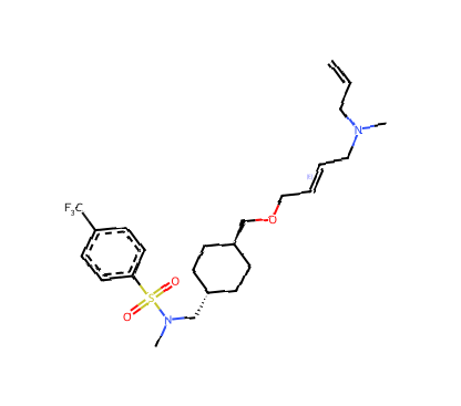 C=CCN(C)C/C=C/COC[C@H]1CC[C@H](CN(C)S(=O)(=O)c2ccc(C(F)(F)F)cc2)CC1